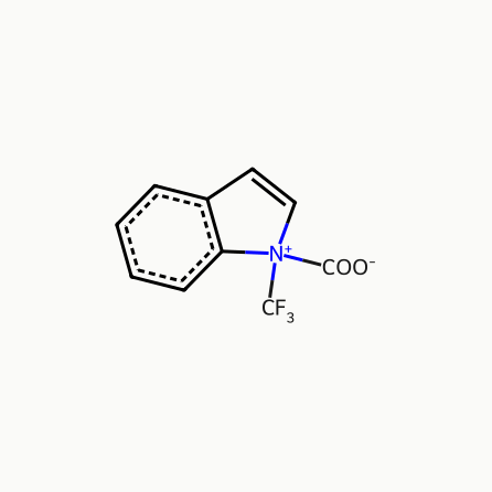 O=C([O-])[N+]1(C(F)(F)F)C=Cc2ccccc21